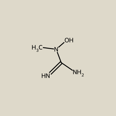 CN(O)C(=N)N